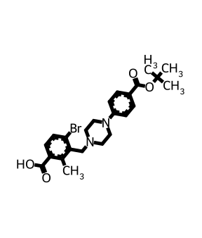 Cc1c(C(=O)O)ccc(Br)c1CN1CCN(c2ccc(C(=O)OC(C)(C)C)cc2)CC1